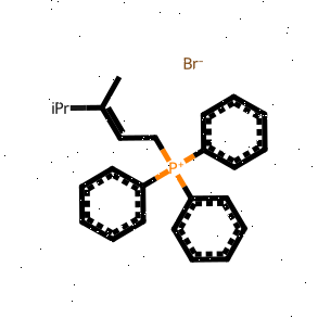 CC(=CC[P+](c1ccccc1)(c1ccccc1)c1ccccc1)C(C)C.[Br-]